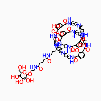 O=C(CCCC(=O)NCCOC1OC(CO)[C@@H](O)C(O)[C@H]1O)NCCCCC1CN2CCNC(=O)c3cccc(c3O)C(=O)NCCN(CCNC(=O)c3cccc(c3O)C(=O)N1)CCN1CCNC(=O)c3cccc(c3O)C(=O)NCCN(CCNC(=O)c3cccc(c3O)C(=O)NCC1)CC2